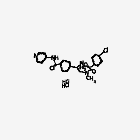 CN(CC(N)c1ccc(C(=O)Nc2ccncc2)cc1)S(=O)(=O)c1ccc(Cl)cc1.Cl.Cl